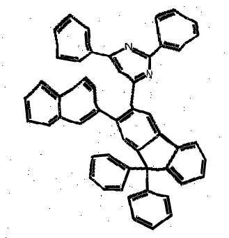 c1ccc(-c2cc(-c3cc4c(cc3-c3ccc5ccccc5c3)C(c3ccccc3)(c3ccccc3)c3ccccc3-4)nc(-c3ccccc3)n2)cc1